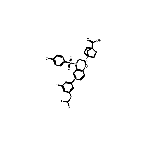 O=C(O)C12CCC([C@H]3CN(S(=O)(=O)c4ccc(Cl)cc4)c4cc(-c5cc(F)cc(OC(F)F)c5)ccc4O3)(CC1)C2